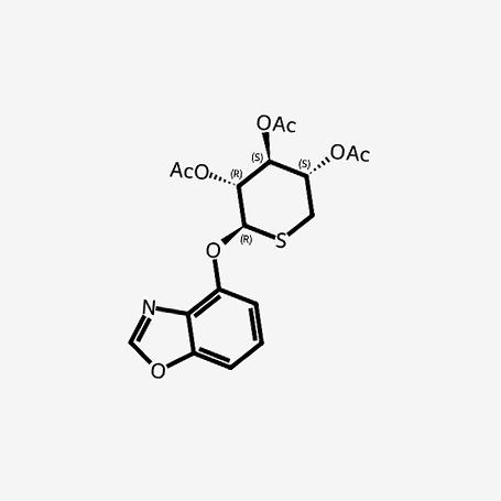 CC(=O)O[C@@H]1[C@@H](OC(C)=O)[C@H](OC(C)=O)CS[C@H]1Oc1cccc2ocnc12